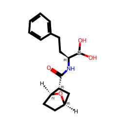 O=C(N[C@@H](CCc1ccccc1)B(O)O)[C@@H]1C[C@H]2CC[C@@H]1O2